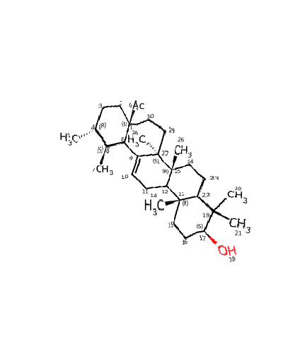 CC(=O)[C@]12CC[C@@H](C)[C@H](C)C1C1=CCC3[C@@]4(C)CC[C@H](O)C(C)(C)C4CC[C@@]3(C)[C@]1(C)CC2